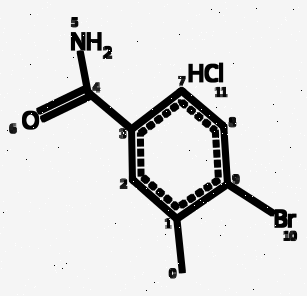 Cc1cc(C(N)=O)ccc1Br.Cl